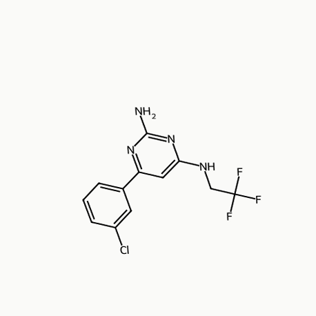 Nc1nc(NCC(F)(F)F)cc(-c2cccc(Cl)c2)n1